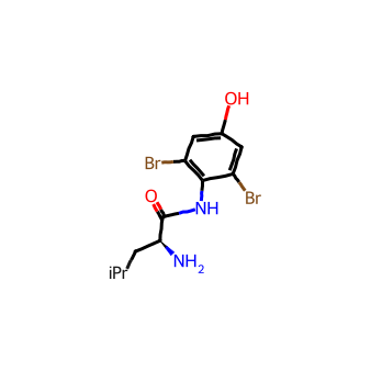 CC(C)C[C@H](N)C(=O)Nc1c(Br)cc(O)cc1Br